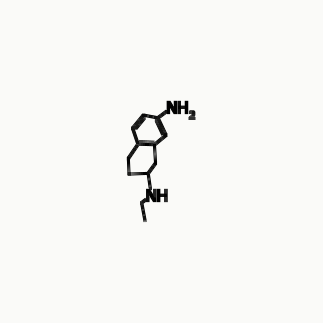 CCNC1CCc2ccc(N)cc2C1